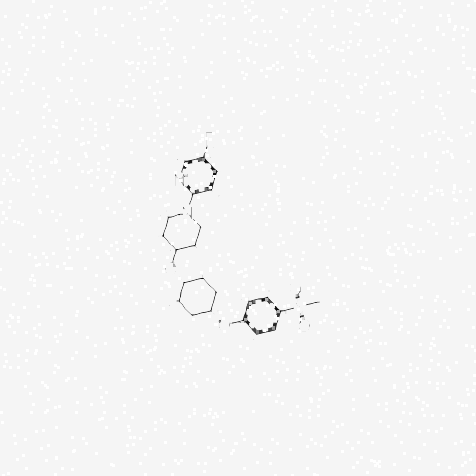 CS(=O)(=O)c1ccc(O[C@H]2CC[C@H](OC3CCN(c4ccc(F)cn4)CC3)CC2)cc1